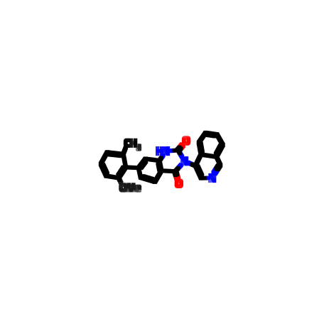 COc1cccc(C)c1-c1ccc2c(=O)n(-c3cncc4ccccc34)c(=O)[nH]c2c1